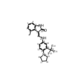 Cc1cccc2c1C(=CNc1ccc(N3CCCC3)c(C(F)(F)F)c1)C(=O)N2